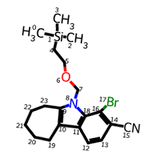 C[Si](C)(C)CCOCn1c2c(c3ccc(C#N)c(Br)c31)CCCCC2